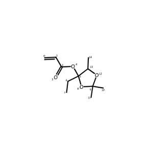 C=CC(=O)OC1(CC)OC(C)(C)OC1C